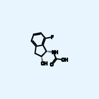 O=C(O)N[C@H]1c2c(F)cccc2C[C@H]1O